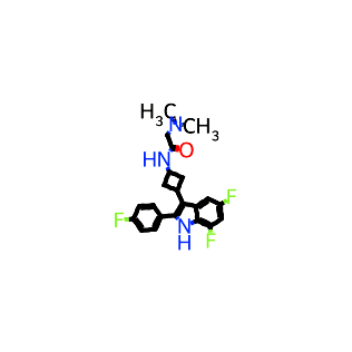 CN(C)CC(=O)NC1CC(c2c(-c3ccc(F)cc3)[nH]c3c(F)cc(F)cc23)C1